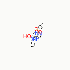 Cc1ccc(S(=O)(=O)N2CCC3C(NN(Cc4ccccc4)C3O)c3cccnc32)cc1